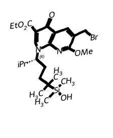 CCOC(=O)c1cn([C@H](CCC(C)(C)[Si](C)(C)O)C(C)C)c2nc(OC)c(CBr)cc2c1=O